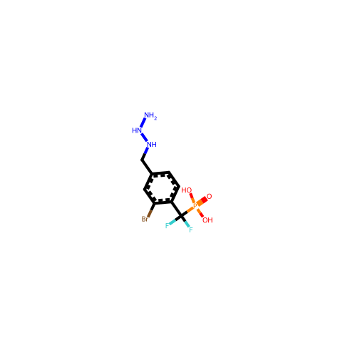 NNNCc1ccc(C(F)(F)P(=O)(O)O)c(Br)c1